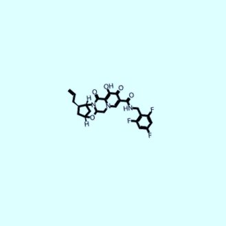 C=CC[C@@H]1C[C@@H]2C[C@H]1N1C(=O)c3c(O)c(=O)c(C(=O)NCc4c(F)cc(F)cc4F)cn3CC1O2